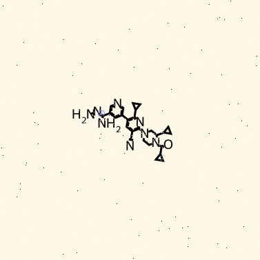 N#Cc1cc(-c2cncc(/C(N)=N/N)c2)c(C2CC2)nc1N1CCN(C(=O)C2CC2)C(C2CC2)C1